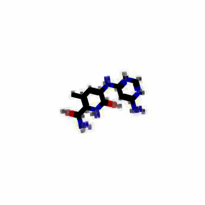 Cc1cc(Nc2cc(N)ncn2)c(=O)[nH]c1C(N)=O